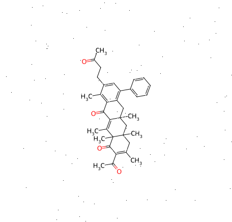 CC(=O)CCc1cc(-c2ccccc2)c2c(c1C)C(=O)C1=C(C)C3(C)C(=O)C(C(C)=O)=C(C)CC3(C)CC1(C)C2